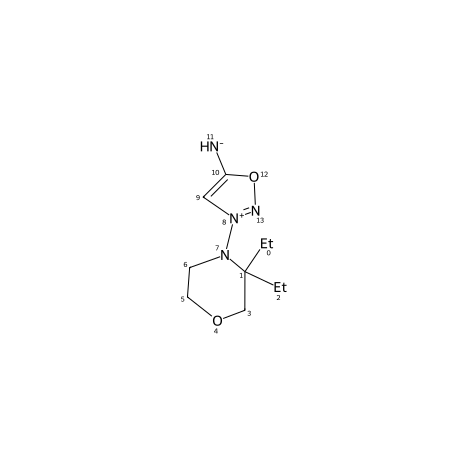 CCC1(CC)COCCN1[n+]1cc([NH-])on1